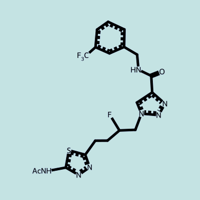 CC(=O)Nc1nnc(CCC(F)Cn2cc(C(=O)NCc3cccc(C(F)(F)F)c3)nn2)s1